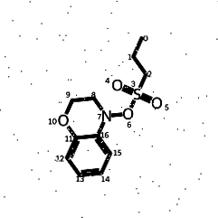 CCCS(=O)(=O)ON1CCOc2ccccc21